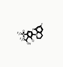 O=S(=O)(c1ccc(N2CCCc3cc(F)cc(F)c32)c(Cl)c1C(O)C(F)(F)F)C(F)(F)F